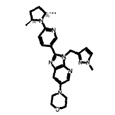 C[C@H]1CC[C@H](C)N1c1ccc(-c2nc3cc(N4CCOCC4)cnc3n2Cc2ccn(C)n2)cn1